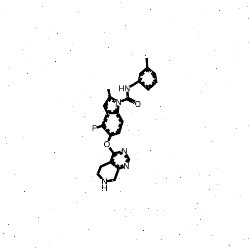 Cc1cccc(NC(=O)n2c(C)cc3c(F)c(Oc4ncnc5c4CCNC5)ccc32)c1